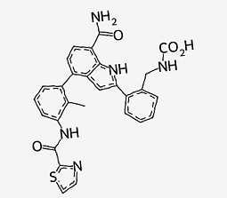 Cc1c(NC(=O)c2nccs2)cccc1-c1ccc(C(N)=O)c2[nH]c(-c3ccccc3CNC(=O)O)cc12